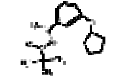 C[C@@H](N[S+]([O-])C(C)(C)C)c1cccc(OC2CCCC2)c1